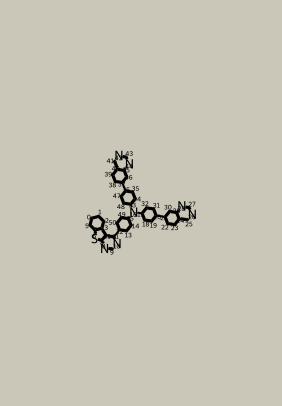 c1ccc2c(c1)sc1ncnc(-c3ccc(N(c4ccc(-c5ccc6cncnc6c5)cc4)c4ccc(-c5ccc6cncnc6c5)cc4)cc3)c12